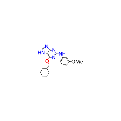 COc1cccc(Nc2nc(OCC3CCCCC3)c3[nH]cnc3n2)c1